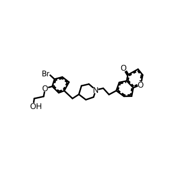 O=c1ccoc2ccc(CCN3CCC(Cc4ccc(Br)c(OCCO)c4)CC3)cc12